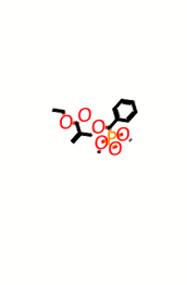 C=C(COC(c1ccccc1)P(=O)(OC)OC)C(=O)OCC